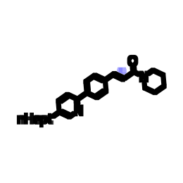 CCCCCCCc1ccc(-c2ccc(/C=C/C(=O)N3CCCCC3)cc2)nc1